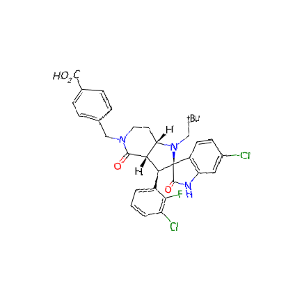 CC(C)(C)CN1[C@H]2CCN(Cc3ccc(C(=O)O)cc3)C(=O)[C@H]2[C@H](c2cccc(Cl)c2F)[C@]12C(=O)Nc1cc(Cl)ccc12